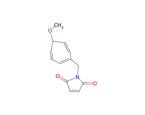 COC1C=CC=C(CN2C(=O)C=CC2=O)C=C1